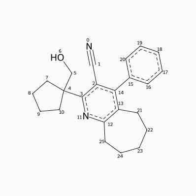 N#Cc1c(C2(CO)CCCC2)nc2c(c1-c1ccccc1)CCCCC2